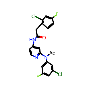 CC(=O)N(c1cc(F)cc(Cl)c1)c1cc(NC(=O)Cc2ccc(F)cc2Cl)ccn1